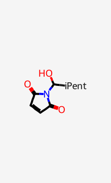 CCCC(C)C(O)N1C(=O)C=CC1=O